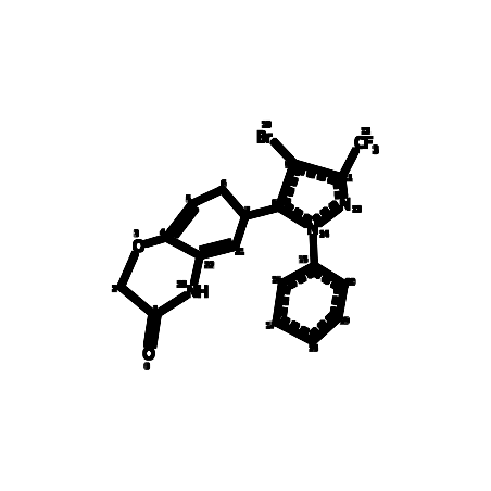 O=C1COC2=CCC(c3c(Br)c(C(F)(F)F)nn3-c3ccccc3)C=C2N1